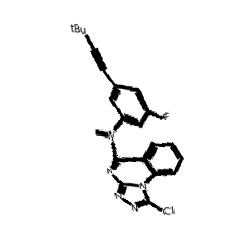 CN(c1cc(F)cc(C#CC(C)(C)C)c1)c1nc2nnc(Cl)n2c2ccccc12